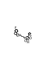 O=c1[nH]c(=O)n(CCCCN2CCC3(CCc4cc(F)ccc43)C2)cc1-c1cccs1